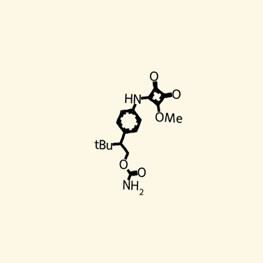 COc1c(Nc2ccc(C(COC(N)=O)C(C)(C)C)cc2)c(=O)c1=O